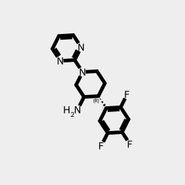 NC1CN(c2ncccn2)CC[C@@H]1c1cc(F)c(F)cc1F